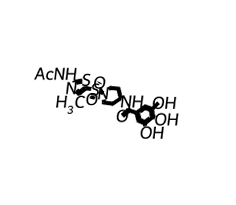 CC(=O)Nc1nc(C)c(S(=O)(=O)N2CCC(NC(=O)c3cc(O)c(O)c(O)c3)CC2)s1